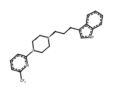 FC(F)(F)c1cccc(N2CCN(CCCc3c[nH]c4ccccc34)CC2)n1